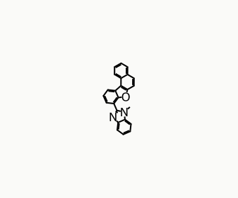 Cn1c(-c2cccc3c2oc2ccc4ccccc4c23)nc2ccccc21